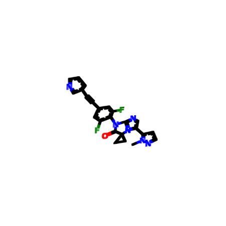 Cn1nccc1-c1cnc2n1C1(CC1)C(=O)N2c1c(F)cc(C#Cc2cccnc2)cc1F